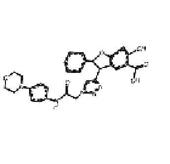 O=C(Cn1cc(C2c3cc(C(=O)O)c(O)cc3OC2c2ccccc2)nn1)Nc1ccc(N2CCOCC2)cc1